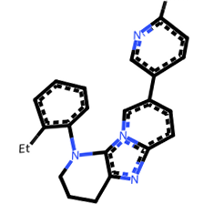 CCc1ccccc1N1CCCc2nc3ccc(-c4ccc(OC)nc4)cn3c21